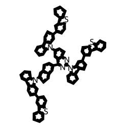 c1ccc2c(c1)sc1ccc(-c3ccc4c5ccccc5n(-c5ccc6cc(-c7nc(-n8c9ccccc9c9ccc(-c%10ccc%11sc%12ccccc%12c%11c%10)cc98)nc8ccc(-n9c%10ccccc%10c%10ccc(-c%11ccc%12sc%13ccccc%13c%12c%11)cc%109)cc78)ccc6c5)c4c3)cc12